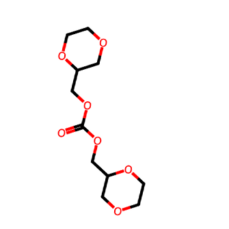 O=C(OCC1COCCO1)OCC1COCCO1